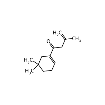 C=C(C)CC(=O)C1=CCCC(C)(C)C1